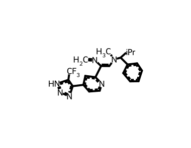 C=N/C(=C\N(C)C(c1ccccc1)C(C)C)c1cc(-c2nn[nH]c2C(F)(F)F)ccn1